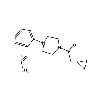 C/C=C/c1ccccc1N1CCN(C(=O)CC2CC2)CC1